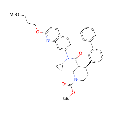 COCCCOc1ccc2ccc(N(C(=O)[C@H]3CN(C(=O)OC(C)(C)C)CC[C@@H]3c3cccc(-c4ccccc4)c3)C3CC3)cc2n1